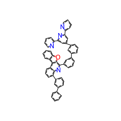 c1ccc(-c2cccc(-c3cccc4c3nc(-c3cccc(-c5cccc(-c6cc(-c7ccccn7)nc(-c7ccccn7)c6)c5)c3)c3oc5ccccc5c34)c2)cc1